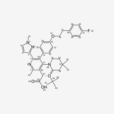 Cc1nc(-c2ccn(C)n2)c(-c2ccc(OCCc3ccc(F)cc3)cc2)c(N2CCC(C)(C)CC2)c1[C@H](OC(C)(C)C)C(=O)O